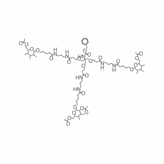 CC(=O)OCC1OC(OCCCCC(=O)NCCCNC(=O)CCOCC(COCCC(=O)NCCCNC(=O)CCCCOC2OC(COC(C)=O)C(C)C(C)C2C)(COCCC(=O)NCCCNC(=O)CCCCOC2OC(COC(C)=O)C(C)C(C)C2OC(C)=O)NC(=O)OCc2ccccc2)C(C)C(C)C1C